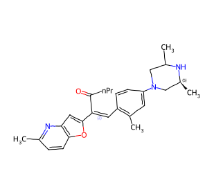 CCCC(=O)/C(=C\c1ccc(N2CC(C)N[C@@H](C)C2)cc1C)c1cc2nc(C)ccc2o1